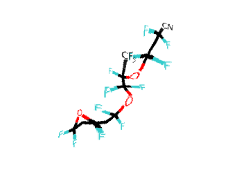 N#CC(F)(F)C(F)(F)OC(F)(C(F)(F)F)C(F)(F)OC(F)(F)C1(F)OC1(F)F